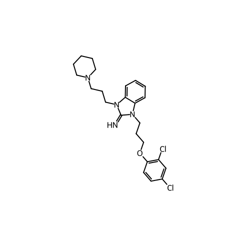 N=c1n(CCCOc2ccc(Cl)cc2Cl)c2ccccc2n1CCCN1CCCCC1